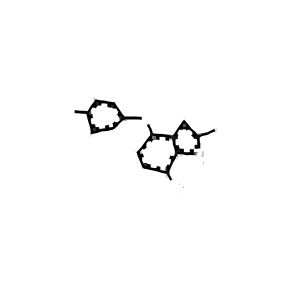 Cc1cc2c(Sc3ccc(C(F)(F)F)cc3)ccc(C#N)c2[nH]1